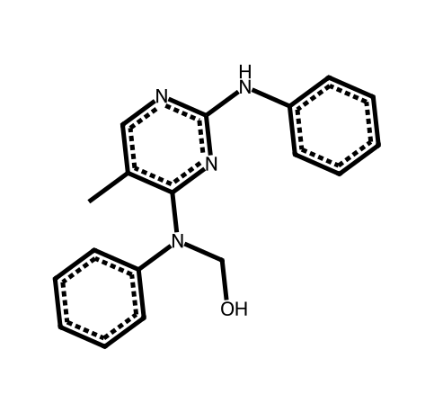 Cc1cnc(Nc2ccccc2)nc1N(CO)c1ccccc1